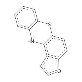 c1ccc2c(c1)Nc1c(ccc3occc13)S2